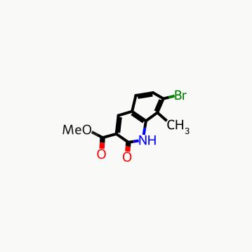 COC(=O)c1cc2ccc(Br)c(C)c2[nH]c1=O